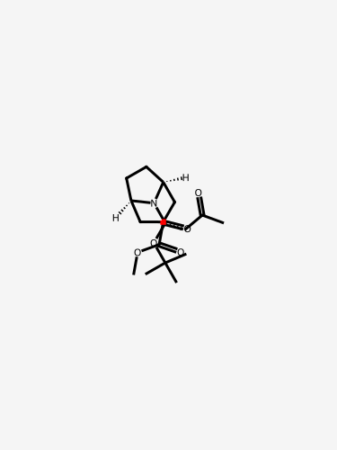 COC(=O)[C@@]1(CC(C)=O)C[C@H]2CC[C@@H](C1)N2C(=O)OC(C)(C)C